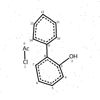 CC(=O)Cl.Oc1ccccc1-c1ccccc1